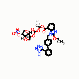 CCOc1nc2cccc(C(=O)O[C@@H](C)OC(=O)O[C@H]3CO[C@H]4[C@@H]3OC[C@H]4O[N+](=O)[O-])c2n1Cc1ccc(-c2ccccc2-c2nnn[nH]2)cc1